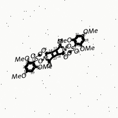 COc1cc(OC)c(S(=O)(=O)ON2C(=O)C3C(C2=O)C2C(=O)N(OS(=O)(=O)c4c(OC)cc(OC)cc4OC)C(=O)C32)c(OC)c1